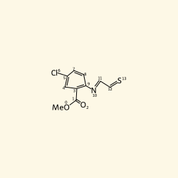 COC(=O)c1cc(Cl)ccc1N=CC=S